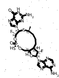 C[C@H]1CCC[C@H]2[C@H](F)[C@H](n3cnc4c(N)ncnc43)O[C@@H]2COP(=O)(S)O[C@H](F)[C@H](n2cnc3c(=O)[nH]c(N)nc32)S1